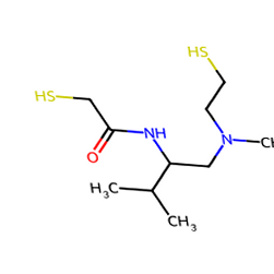 CC(C)C(CN(C)CCS)NC(=O)CS